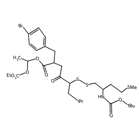 CCOC(=O)OC(C)OC(=O)C(CC(=O)C(CC(C)C)SSCC(CCSC)NC(=O)OC(C)(C)C)Cc1ccc(Br)cc1